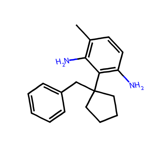 Cc1ccc(N)c(C2(Cc3ccccc3)CCCC2)c1N